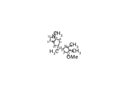 COc1cc(C(C)c2ccc3c(ccn3C)c2)cc(C)c1C